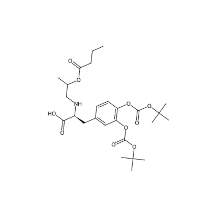 CCCC(=O)OC(C)CN[C@@H](Cc1ccc(OC(=O)OC(C)(C)C)c(OC(=O)OC(C)(C)C)c1)C(=O)O